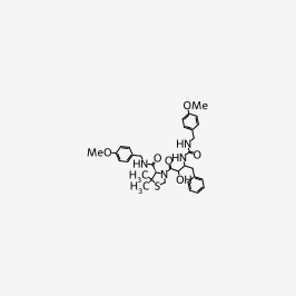 COc1ccc(CNC(=O)NC(Cc2ccccc2)C(O)C(=O)N2CSC(C)(C)[C@H]2C(=O)NCc2ccc(OC)cc2)cc1